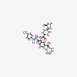 O=C(Nc1ccc(Cl)cn1)c1oc2ccc(C(=O)N3CCOCC3)cc2c1NC(=O)C1CCC(N2CCCC2=O)CC1